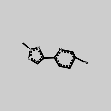 Cn1ncc(-c2ccc(Br)cn2)n1